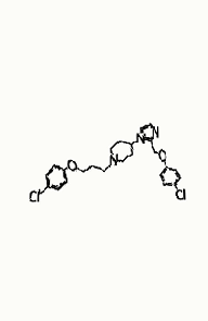 Clc1ccc(OCCCN2CCC(n3ccnc3COc3ccc(Cl)cc3)CC2)cc1